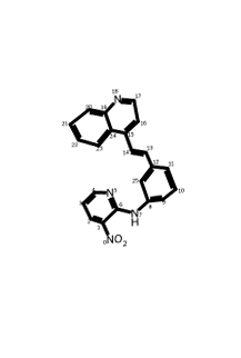 O=[N+]([O-])c1cccnc1Nc1cccc(C=Cc2ccnc3ccccc23)c1